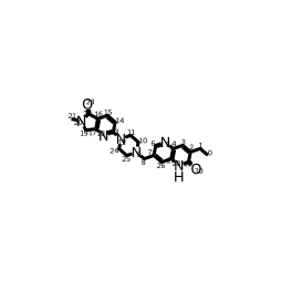 CCc1cc2ncc(CN3CCN(c4ccc5c(n4)CN(C)C5=O)CC3)cc2[nH]c1=O